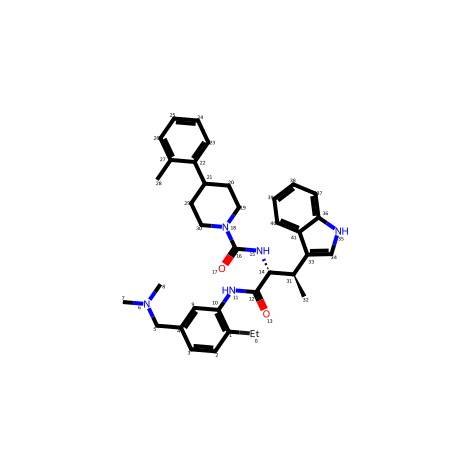 CCc1ccc(CN(C)C)cc1NC(=O)[C@H](NC(=O)N1CCC(c2ccccc2C)CC1)[C@H](C)c1c[nH]c2ccccc12